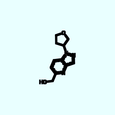 OCc1ccc2c(cnn2C2CCOC2)n1